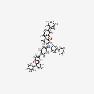 c1ccc(-c2ccc(N(c3ccc(-c4ccc5oc6c(-c7ccccc7)cccc6c5c4)cc3)c3ccc4c(c3)oc3cc(-c5ccccc5)ccc34)cc2)cc1